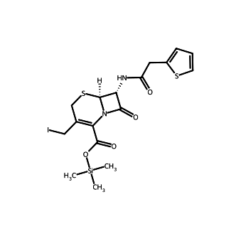 C[Si](C)(C)OC(=O)C1=C(CI)CS[C@H]2[C@H](NC(=O)Cc3cccs3)C(=O)N12